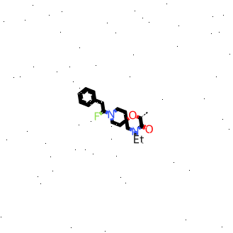 CCN1CC2(CCN(C(F)Cc3ccccc3)CC2)O[C@H](C)C1=O